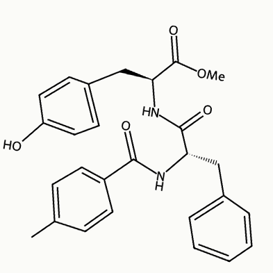 COC(=O)[C@H](Cc1ccc(O)cc1)NC(=O)[C@H](Cc1ccccc1)NC(=O)c1ccc(C)cc1